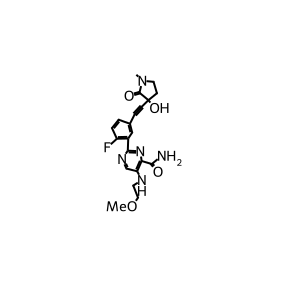 COCCNc1cnc(-c2cc(C#CC3(O)CCN(C)C3=O)ccc2F)nc1C(N)=O